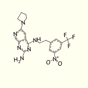 Nc1nc(NCCc2cc([N+](=O)[O-])cc(C(F)(F)F)c2)c2cc(N3CCCC3)ncc2n1